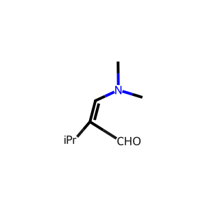 CC(C)C(C=O)=CN(C)C